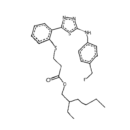 CCCCC(CC)COC(=O)CCSc1ccccc1-c1nnc(Nc2ccc(CF)cc2)s1